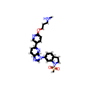 CNCCCOc1ccc(-c2ccc3ncn(-c4ccc5c(c4)N(S(C)(=O)=O)CC5)c3n2)cn1